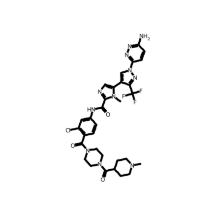 CN1CCC(C(=O)N2CCN(C(=O)c3ccc(NC(=O)c4ncc(-c5cn(-c6ccc(N)nn6)nc5C(F)(F)F)n4C)cc3Cl)CC2)CC1